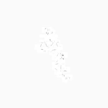 CC(C)NC(=O)c1cccc(-c2cc(-c3ccc(N4CCN(C)CC4)c(-c4ccccc4)c3)[nH]n2)c1